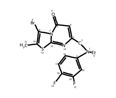 CCN(Cc1cc(=O)n2c(Br)c(C)sc2n1)c1ccc(F)c(F)c1